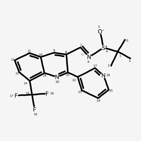 CC(C)(C)[S+]([O-])/N=C/c1cc2cccc(C(F)(F)F)c2nc1-c1cccnc1